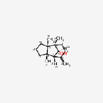 C=C1CC[C@]2(C)[C@@H](O)[C@H]1[C@]1(C)CCC[C@@]12C